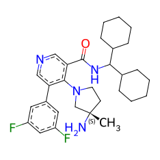 C[C@]1(N)CCN(c2c(C(=O)NC(C3CCCCC3)C3CCCCC3)cncc2-c2cc(F)cc(F)c2)C1